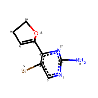 Nc1ncc(Br)c(C2=CCCO2)n1